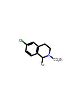 CCOC(=O)N1CCc2cc(Cl)ccc2C1C(C)=O